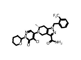 C[C@@H]1Cc2c(c(C(N)=O)nn2Cc2ccccc2C(F)(F)F)CN1c1cnn(C2CCCCO2)c(=O)c1Cl